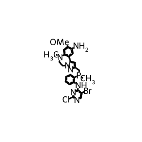 COc1cc2c(cc1N)-c1cc(CP(C)c3ccccc3Nc3nc(Cl)ncc3Br)nn1CCN2C